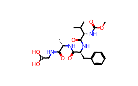 COC(=O)N[C@H](C(=O)N[C@@H](Cc1ccccc1)C(=O)N[C@@H](C)C(=O)NCB(O)O)C(C)C